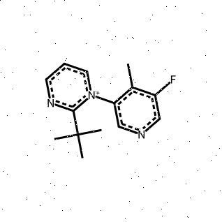 Cc1c(F)cncc1-[n+]1cccnc1C(C)(C)C